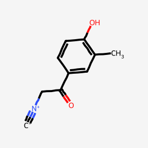 [C-]#[N+]CC(=O)c1ccc(O)c(C)c1